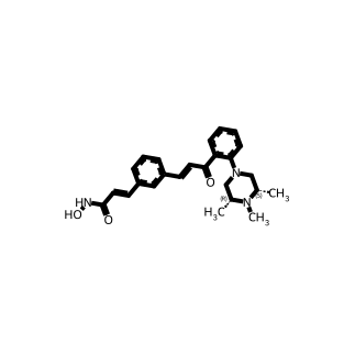 C[C@@H]1CN(c2ccccc2C(=O)C=Cc2cccc(C=CC(=O)NO)c2)C[C@H](C)N1C